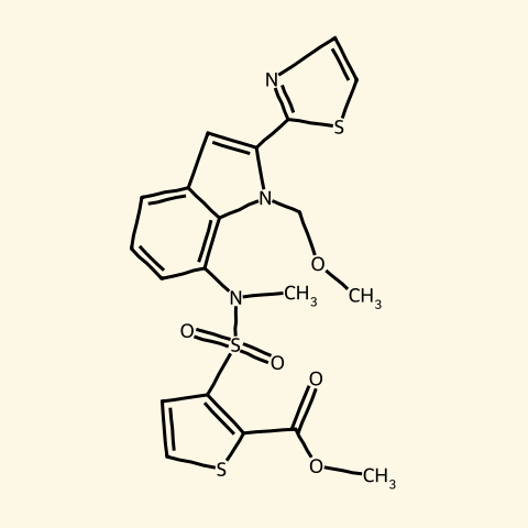 COCn1c(-c2nccs2)cc2cccc(N(C)S(=O)(=O)c3ccsc3C(=O)OC)c21